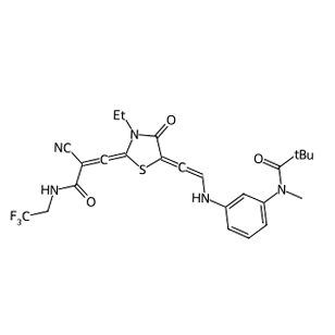 CCn1c(=C=C(C#N)C(=O)NCC(F)(F)F)sc(=C=CNc2cccc(N(C)C(=O)C(C)(C)C)c2)c1=O